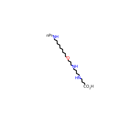 CCCNCCCCCCCCCOCCCNCCCCNCCCC(=O)O